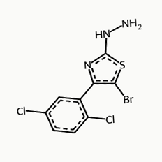 NNc1nc(-c2cc(Cl)ccc2Cl)c(Br)s1